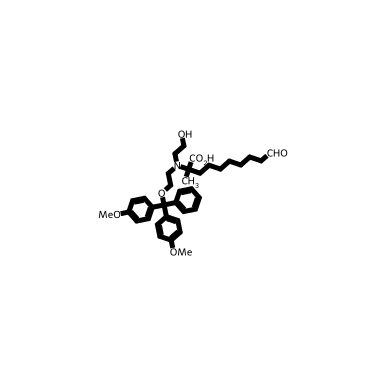 COc1ccc(C(OCCN(CCO)C(C)(CCCCCCCC=O)C(=O)O)(c2ccccc2)c2ccc(OC)cc2)cc1